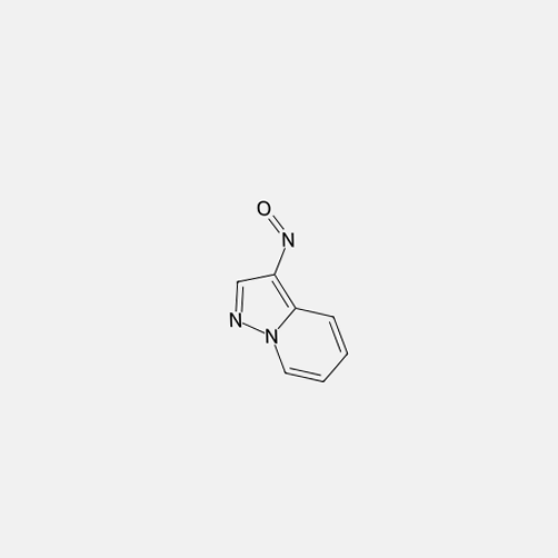 O=Nc1cnn2ccccc12